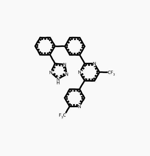 FC(F)(F)c1ccc(-c2cc(C(F)(F)F)nc(-c3cccc(-c4ccccc4-c4nn[nH]n4)c3)n2)cn1